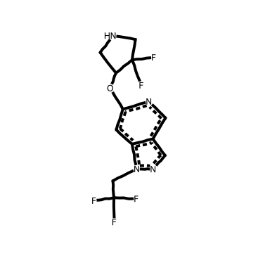 FC(F)(F)Cn1ncc2cnc(OC3CNCC3(F)F)cc21